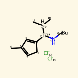 CCC(C)[NH][Ti+2]([C]1=CC(C)=CC1)[SiH](C)C.[Cl-].[Cl-]